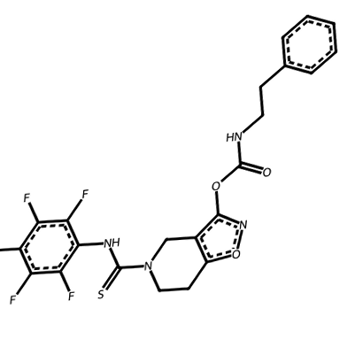 O=C(NCCc1ccccc1)Oc1noc2c1CN(C(=S)Nc1c(F)c(F)c(F)c(F)c1F)CC2